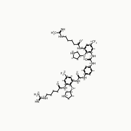 CC(=N)NCCCCC(=O)Nc1cc(C(F)(F)F)cc(NC(=O)Nc2ccc(NC(=O)Nc3cc(C(F)(F)F)cc(NC(=O)CCCCNC(=N)N)c3OC3CCNC3)cc2)c1OC1CCNC1